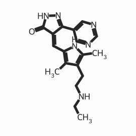 CCNCCc1c(C)[nH]c(/C=C2/C(=O)NN=C2c2cncnc2)c1C